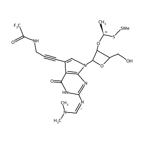 CSS[C@H](C)OC1C(CO)OC1n1cc(C#CCNC(=O)C(F)(F)F)c2c(=O)[nH]c(/N=C\N(C)C)nc21